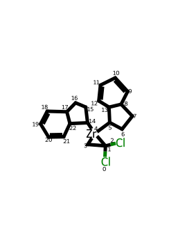 Cl[C]1(Cl)[CH2][Zr]1([CH]1CCC2C=CC=CC21)[CH]1CCC2C=CC=CC21